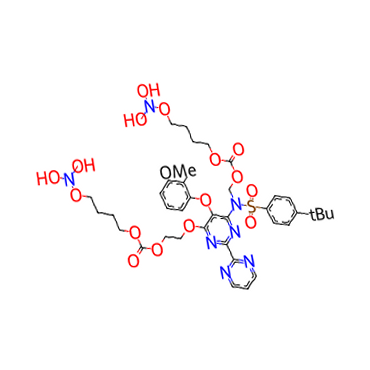 COc1ccccc1Oc1c(OCCOC(=O)OCCCCON(O)O)nc(-c2ncccn2)nc1N(COC(=O)OCCCCON(O)O)S(=O)(=O)c1ccc(C(C)(C)C)cc1